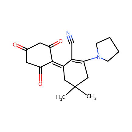 CC1(C)CC(=C2C(=O)CC(=O)CC2=O)C(C#N)=C(N2CCCC2)C1